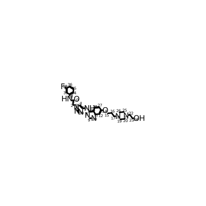 O=C(Cn1cc(Nc2ncnc3cc(OCCCN4CCN(CCO)CC4)ccc23)nn1)Nc1cccc(F)c1